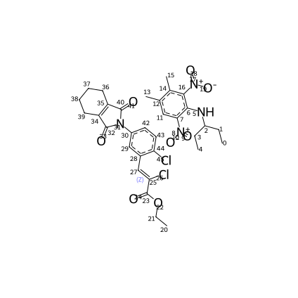 CCC(CC)Nc1c([N+](=O)[O-])cc(C)c(C)c1[N+](=O)[O-].CCOC(=O)/C(Cl)=C/c1cc(N2C(=O)C3=C(CCCC3)C2=O)ccc1Cl